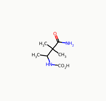 CC(NC(=O)O)C(C)(C)C(N)=O